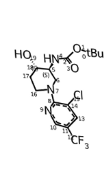 CC(C)(C)OC(=O)N[C@H]1CN(c2ncc(C(F)(F)F)cc2Cl)CC[C@@H]1O